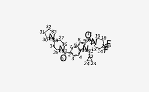 O=C(c1ccc2c(c1)cc(C(=O)N1CCC(F)(F)CC1)n2CC1CC1)N1CCC(N2CCCC2)CC1